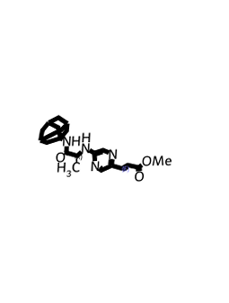 COC(=O)/C=C/c1cnc(N[C@H](C)C(=O)NC23CC4CC(CC(C4)C2)C3)cn1